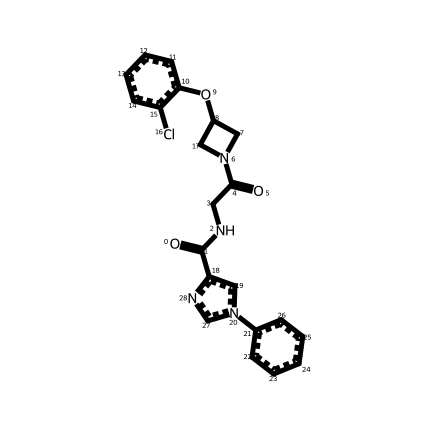 O=C(NCC(=O)N1CC(Oc2ccccc2Cl)C1)c1cn(-c2ccccc2)cn1